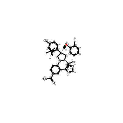 CC(C)(C)C[C@H]1N(c2ccc(C(N)=O)cc2-c2nnn[nH]2)[C@H](C(=O)O)[C@@H](c2cccc(Cl)c2F)[C@]1(C#N)c1ccc(Cl)cc1F